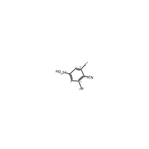 N#Cc1c(Br)cc(S(=O)(=O)O)cc1I